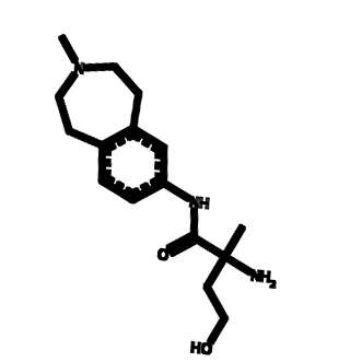 CN1CCc2ccc(NC(=O)C(C)(N)CCO)cc2CC1